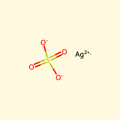 O=S(=O)([O-])[O-].[Ag+2]